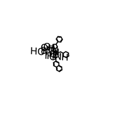 CC(C)C(NC(=O)[C@H]1CC(c2ccccc2)CN1C(=O)[C@@H](CC1CCCCC1)NC(=O)c1ccc2ccccc2c1)B(O)O